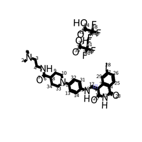 CN(C)CCNC(=O)C1CCN(c2ccc(N/C=C3\C(=O)NC(=O)c4ccc(I)cc43)cc2)CC1.O=C(O)C(F)(F)F.O=C(O)C(F)(F)F